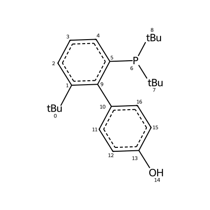 CC(C)(C)c1cccc(P(C(C)(C)C)C(C)(C)C)c1-c1ccc(O)cc1